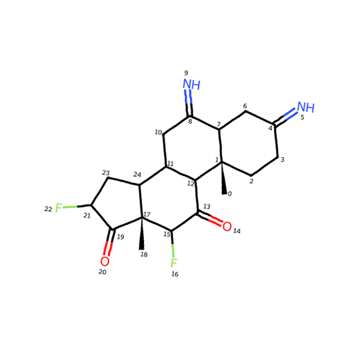 C[C@]12CCC(=N)CC1C(=N)CC1C2C(=O)C(F)[C@]2(C)C(=O)C(F)CC12